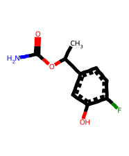 CC(OC(N)=O)c1ccc(F)c(O)c1